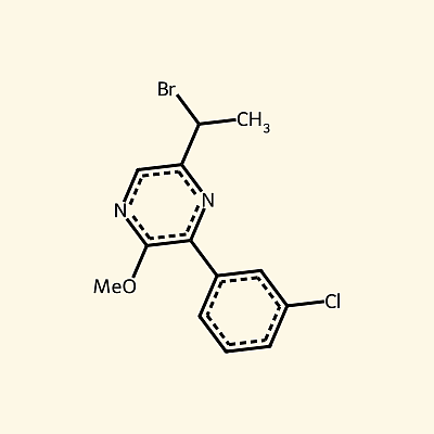 COc1ncc(C(C)Br)nc1-c1cccc(Cl)c1